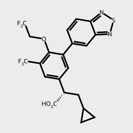 O=C(O)[C@@H](CC1CC1)c1cc(-c2ccc3nsnc3c2)c(OCC(F)(F)F)c(C(F)(F)F)c1